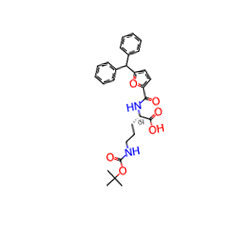 CC(C)(C)OC(=O)NCCC[C@H](NC(=O)c1ccc(C(c2ccccc2)c2ccccc2)o1)C(=O)O